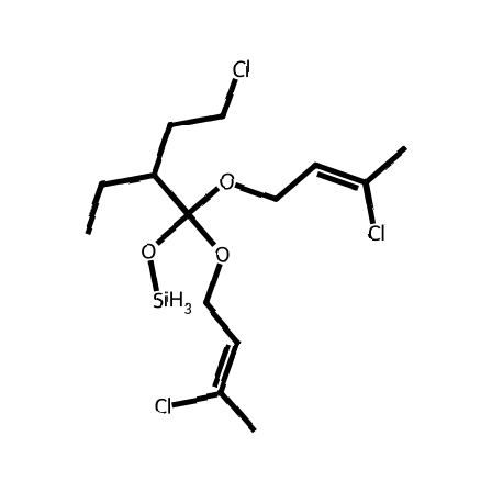 CCC(CCCl)C(O[SiH3])(OCC=C(C)Cl)OCC=C(C)Cl